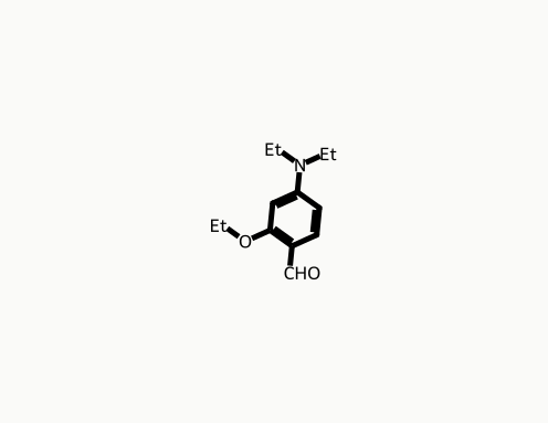 CCOc1cc(N(CC)CC)ccc1C=O